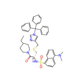 CCC1CCN(C(=O)[C@H](CSCc2cn(C(c3ccccc3)(c3ccccc3)c3ccccc3)cn2)NS(=O)(=O)c2cccc3c(N(C)C)cccc23)CC1